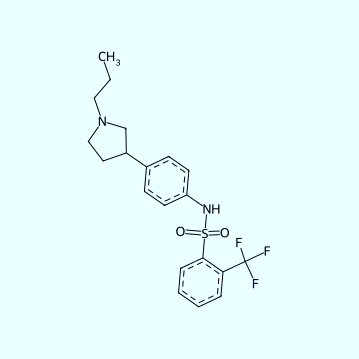 CCCN1CCC(c2ccc(NS(=O)(=O)c3ccccc3C(F)(F)F)cc2)C1